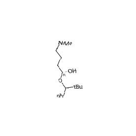 CCCC(O[C@@H](O)CCCNC)C(C)(C)C